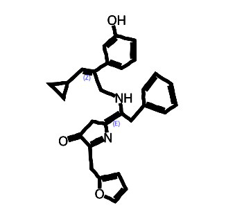 O=C1C/C(=C(/Cc2ccccc2)NC/C(=C\C2CC2)c2cccc(O)c2)N=C1Cc1ccco1